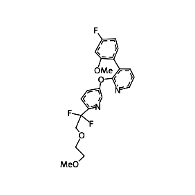 COCCOCC(F)(F)c1ccc(Oc2ncccc2-c2ccc(F)cc2OC)cn1